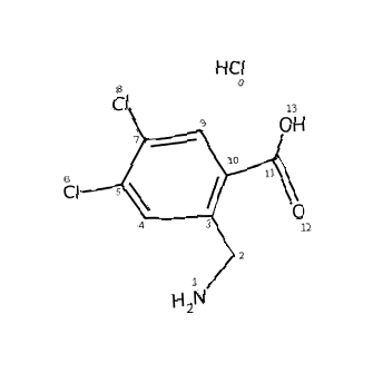 Cl.NCc1cc(Cl)c(Cl)cc1C(=O)O